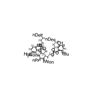 CCCCCCCCCCCCCOP(OCCCC(CCCCCCCCC)C(CCC)C(CCCCCCCCC)CCCOP(OCCCCCCCCCCCCC)Oc1cc(C)ccc1C(C)(C)C)Oc1cc(C)ccc1C(C)(C)C